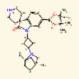 CC1(C)OB(c2ccc3c(c2)N(C2CC(N4C[C@H]5CC[C@@H]4C5)C2)C(=O)C32CCNCC2)OC1(C)C